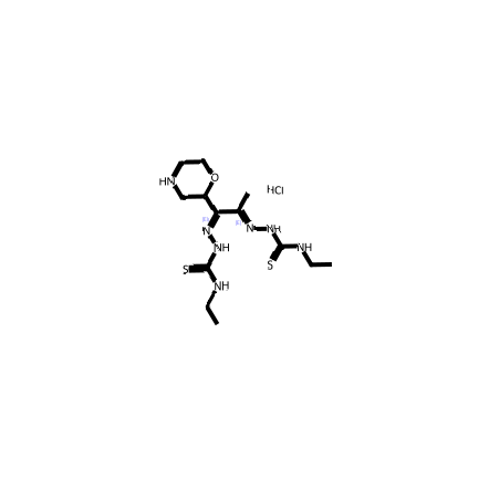 CCNC(=S)N/N=C(C)/C(=N\NC(=S)NCC)C1CNCCO1.Cl